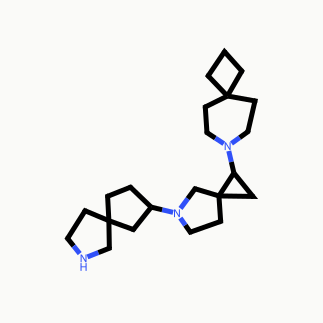 C1CC2(C1)CCN(C1CC13CCN(C1CCC4(CCNC4)C1)C3)CC2